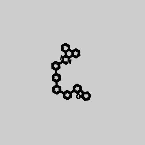 C1=CC2c3ccccc3-c3ncc(-c4cccc(-c5ccc(-c6cccc(-c7cccc(-c8cccc9c8oc8ccccc89)c7)c6)cc5)c4)nc3C2C=C1